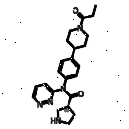 CCC(=O)N1CCC(c2ccc(N(C(=O)[C@H]3CCNC3)c3cccnn3)cc2)CC1